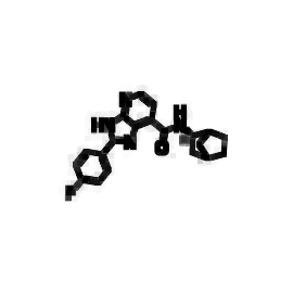 O=C(N[C@@H]1CC2CCC1C2)c1ccnc2[nH]c(-c3ccc(F)cc3)nc12